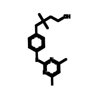 Cc1cc(C)nc(Sc2ccc(CC(C)(C)CCO)cc2)n1